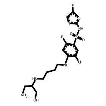 NCC(CO)NCCCCNc1cc(F)c(S(=O)(=O)Nc2ncc(F)s2)cc1Cl